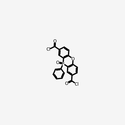 O=C(Cl)c1ccc2c(c1)P(=O)(c1ccccc1)c1cc(C(=O)Cl)ccc1O2